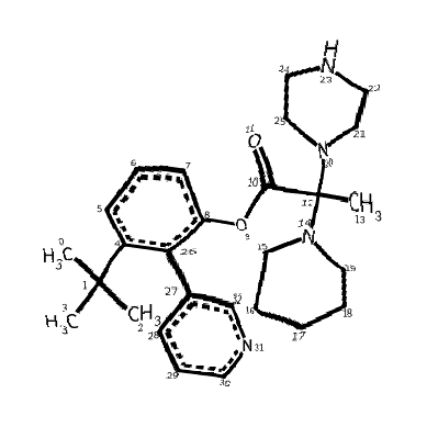 CC(C)(C)c1cccc(OC(=O)C(C)(N2CCCCC2)N2CCNCC2)c1-c1cccnc1